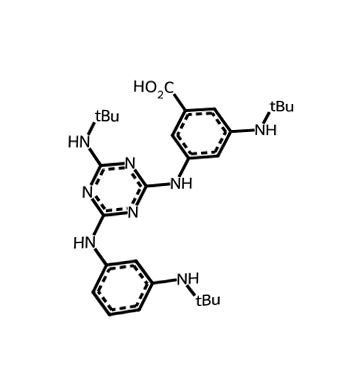 CC(C)(C)Nc1cccc(Nc2nc(Nc3cc(NC(C)(C)C)cc(C(=O)O)c3)nc(NC(C)(C)C)n2)c1